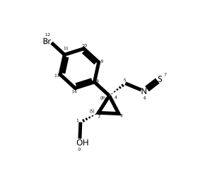 OC[C@H]1C[C@]1(CN=S)c1ccc(Br)cc1